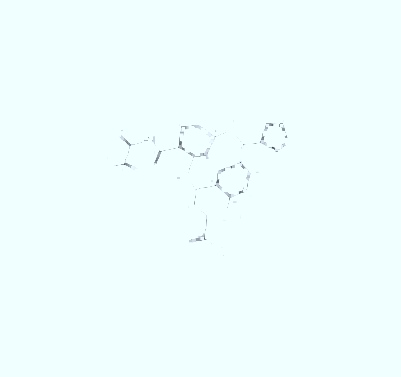 C=C(NC(=O)c1ccc(OCc2ccsc2)cc1OC(CCC(=O)O)c1ccccc1C)C(=O)O